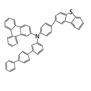 c1ccc(-c2ccc(-c3cccc(N(c4ccc(-c5ccc6sc7ccccc7c6c5)cc4)c4ccc5c6ccccc6c6ccccc6c5c4)c3)cc2)cc1